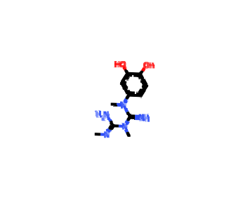 C/N=C(\N)N(C)C(=N)N(C)c1ccc(O)c(O)c1